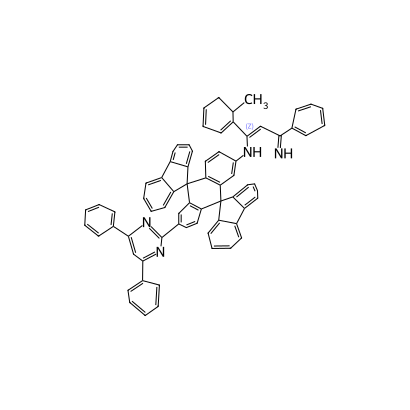 CC1CC=CC=C1/C(=C/C(=N)c1ccccc1)Nc1ccc2c(c1)C1(c3ccccc3-c3ccccc31)c1ccc(-c3nc(-c4ccccc4)cc(-c4ccccc4)n3)cc1C21c2ccccc2-c2ccccc21